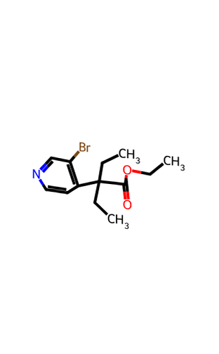 CCOC(=O)C(CC)(CC)c1ccncc1Br